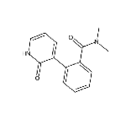 CN(C)C(=O)c1ccccc1-c1ccc[nH]c1=O